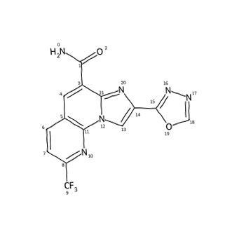 NC(=O)c1cc2ccc(C(F)(F)F)nc2n2cc(-c3nnco3)nc12